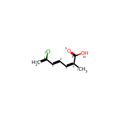 C=C(Cl)C=CC=C(C)C(=O)O